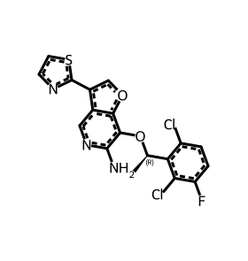 C[C@@H](Oc1c(N)ncc2c(-c3nccs3)coc12)c1c(Cl)ccc(F)c1Cl